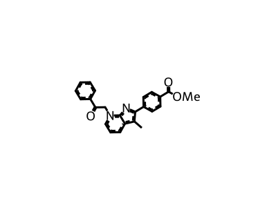 COC(=O)c1ccc(-c2nc3n(CC(=O)c4ccccc4)cccc-3c2C)cc1